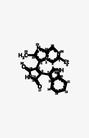 CCc1cn2c(C3=C(c4c[nH]c5ccccc45)C(=O)NC3=O)c(C)nc2cn1